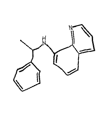 CC(Nc1cccc2cccnc12)c1ccccc1